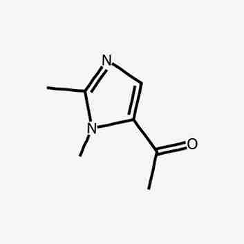 CC(=O)c1cnc(C)n1C